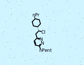 CCCCCc1ccc(CC(Cl)[C@H]2CC[C@H](CCC)CC2)nn1